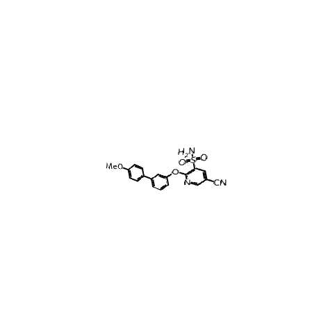 COc1ccc(-c2cccc(Oc3ncc(C#N)cc3S(N)(=O)=O)c2)cc1